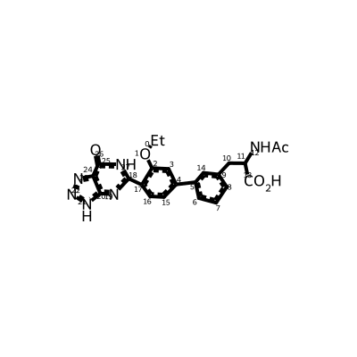 CCOc1cc(-c2cccc(CC(NC(C)=O)C(=O)O)c2)ccc1-c1nc2[nH]nnc2c(=O)[nH]1